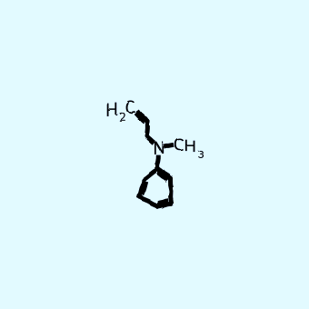 C=CCN(C)c1ccccc1